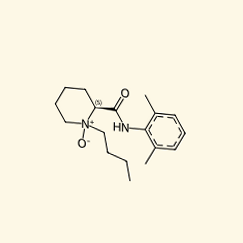 CCCC[N+]1([O-])CCCC[C@H]1C(=O)Nc1c(C)cccc1C